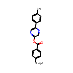 CCCCCCCc1ccc(C(=O)Oc2cnc(-c3ccc(C#N)cc3)cn2)cc1